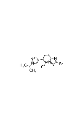 CC(C)n1cc(-c2ccc3nc(Br)nn3c2Cl)cn1